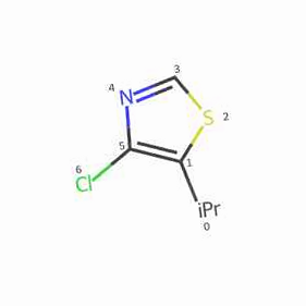 CC(C)c1scnc1Cl